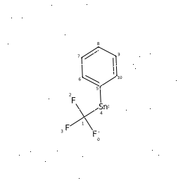 F[C](F)(F)[Sn][c]1ccccc1